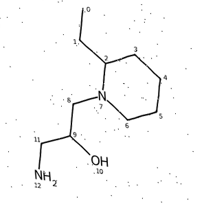 CCC1CCCCN1CC(O)CN